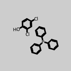 Oc1ccc(Cl)cc1Cl.c1ccc(P(c2ccccc2)c2ccccc2)cc1